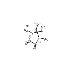 CC[N+](CC)(CC)CC.O=S([O-])S(=O)[O-].[Na+]